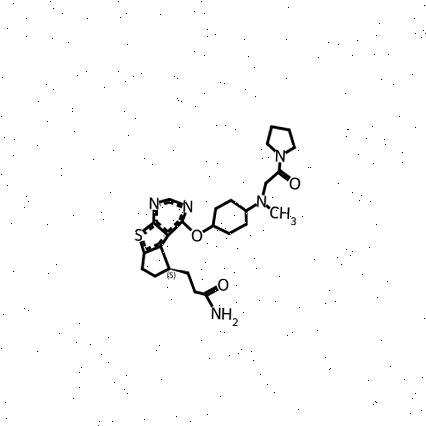 CN(CC(=O)N1CCCC1)C1CCC(Oc2ncnc3sc4c(c23)[C@@H](CCC(N)=O)CC4)CC1